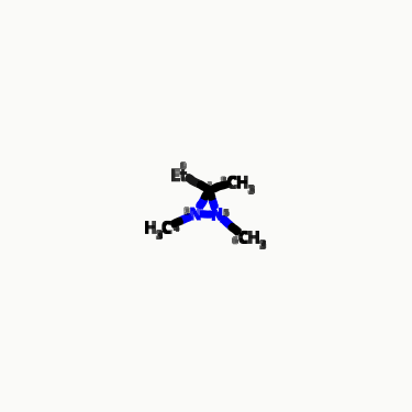 CCC1(C)N(C)N1C